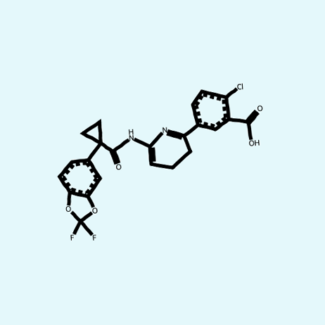 O=C(O)c1cc(C2=NC(NC(=O)C3(c4ccc5c(c4)OC(F)(F)O5)CC3)=CCC2)ccc1Cl